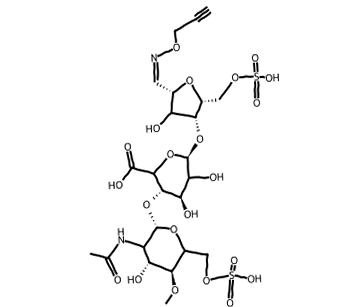 C#CCO/N=C\[C@@H]1O[C@H](COS(=O)(=O)O)[C@H](O[C@@H]2OC(C(=O)O)[C@@H](O[C@@H]3OC(COS(=O)(=O)O)[C@@H](OC)[C@H](O)C3NC(C)=O)[C@H](O)C2O)C1O